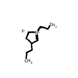 CCCC1C=[N+](CCC)CC1.[F-]